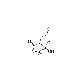 NC(=O)C(CCCl)S(=O)(=O)O